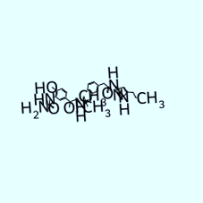 CCCc1cc(NC(=O)Cc2cccc(CC(C)(C)NCC(O)c3ccc(O)c(NC(N)=O)c3)c2)n[nH]1